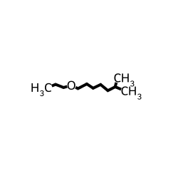 CCCOCCCCCC(C)C